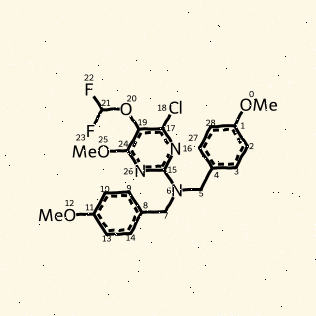 COc1ccc(CN(Cc2ccc(OC)cc2)c2nc(Cl)c(OC(F)F)c(OC)n2)cc1